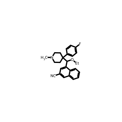 CCOC(c1cc(C#N)cc2ccccc12)C1(c2ccc(F)cc2)CCN(C)CC1